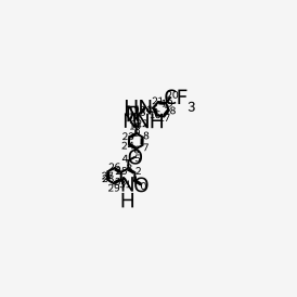 O=c1cc(COc2ccc(-c3nnc(Nc4cccc(C(F)(F)F)c4)[nH]3)cc2)c2ccccc2[nH]1